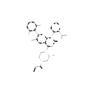 C=CC(=O)N1CCN(c2nc(=O)n(-c3cncnc3C(C)C)c3nc(-c4c(O)cccc4F)c(Cl)cc23)[C@@H](C)C1